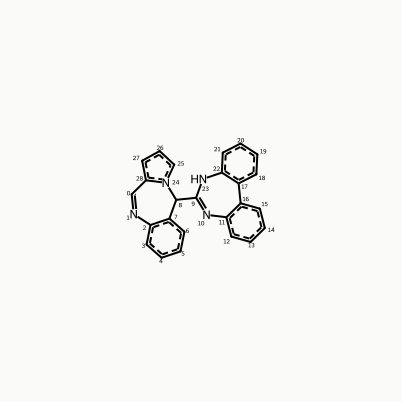 [C]1=Nc2ccccc2C(C2=Nc3ccccc3-c3ccccc3N2)n2cccc21